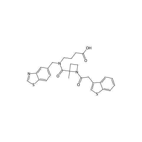 CC1(C(=O)N(CCCC(=O)O)Cc2ccc3scnc3c2)CCN1C(=O)Cc1csc2ccccc12